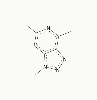 Cc1cc2c(nnn2C)c(C)n1